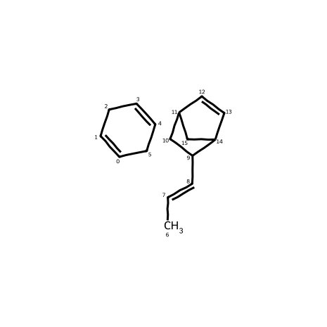 C1=CCC=CC1.CC=CC1CC2C=CC1C2